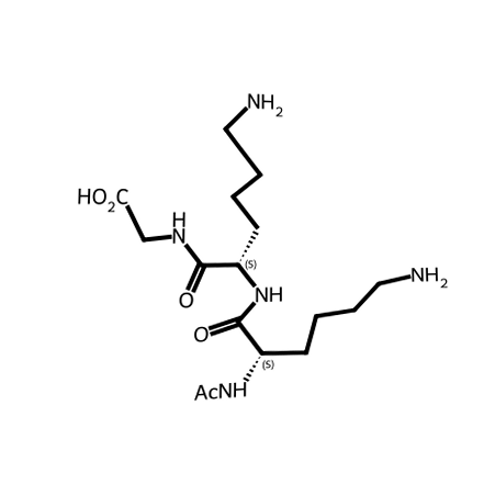 CC(=O)N[C@@H](CCCCN)C(=O)N[C@@H](CCCCN)C(=O)NCC(=O)O